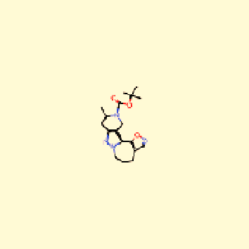 C[C@@H]1Cc2nn3c(c2CN1C(=O)OC(C)(C)C)-c1oncc1CCC3